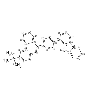 CC(C)(C)c1ccc2cc(-c3ccc(-c4cccc5c4oc4ccccc45)cc3)c3ccccc3c2c1